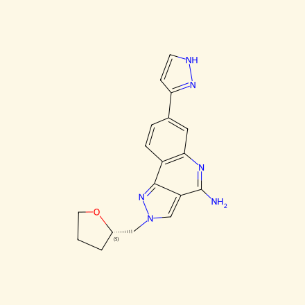 Nc1nc2cc(-c3cc[nH]n3)ccc2c2nn(C[C@@H]3CCCO3)cc12